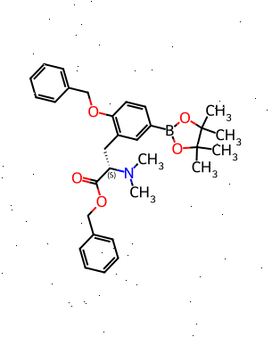 CN(C)[C@@H](Cc1cc(B2OC(C)(C)C(C)(C)O2)ccc1OCc1ccccc1)C(=O)OCc1ccccc1